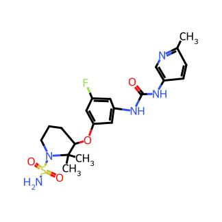 Cc1ccc(NC(=O)Nc2cc(F)cc(OC3CCCN(S(N)(=O)=O)C3(C)C)c2)cn1